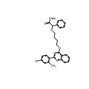 COC(=O)C(OCCCCOc1nc(-c2ccc(Cl)cc2C)nc2ccccc12)c1ccccc1